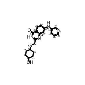 O=c1[nH]c(CSC2CCC(O)CC2)nc2cc(Nc3cccnc3)ccc12